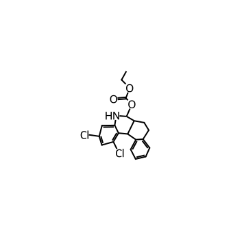 CCOC(=O)OC1Nc2cc(Cl)cc(Cl)c2C2c3ccccc3CCC12